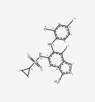 Cc1onc2c(F)c(Nc3ccc(I)cc3Cl)c(NS(=O)(=O)C3CC3)cc12